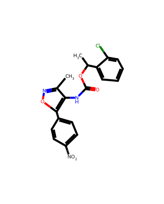 Cc1noc(-c2ccc([N+](=O)[O-])cc2)c1NC(=O)OC(C)c1ccccc1Cl